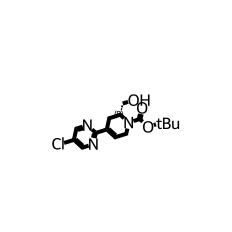 CC(C)(C)OC(=O)N1CC=C(c2ncc(Cl)cn2)C[C@@H]1CO